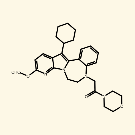 O=COc1ccc2c(C3CCCCC3)c3n(c2n1)CCN(CC(=O)N1CCOCC1)c1ccccc1-3